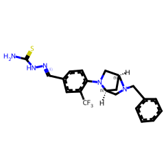 NC(=S)N/N=C/c1ccc(N2C[C@@H]3C[C@H]2CN3Cc2ccccc2)c(C(F)(F)F)c1